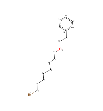 BrCCCCCCCCOCCc1ccccc1